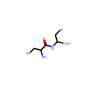 CC(C)CC(N)C(=O)NC(CC(C)C)C(=O)O